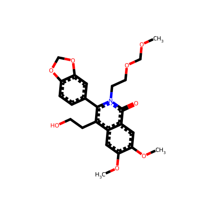 COCOCCn1c(-c2ccc3c(c2)OCO3)c(CCO)c2cc(OC)c(OC)cc2c1=O